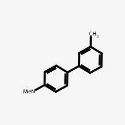 CNc1ccc(-c2cccc(C)c2)cc1